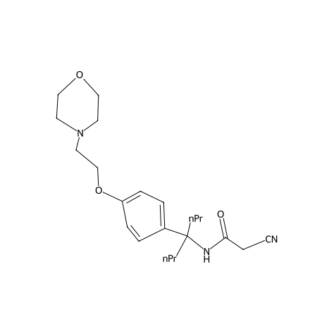 CCCC(CCC)(NC(=O)CC#N)c1ccc(OCCN2CCOCC2)cc1